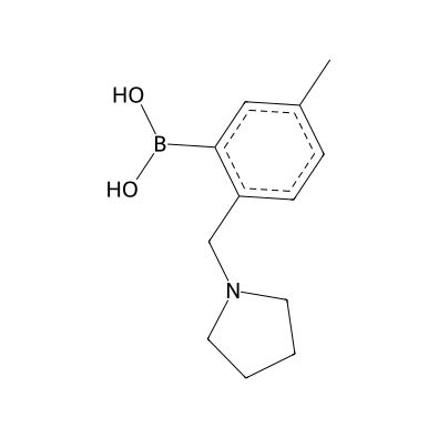 Cc1ccc(CN2CCCC2)c(B(O)O)c1